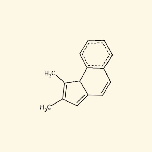 CC1=C(C)C2C(=C1)C=Cc1ccccc12